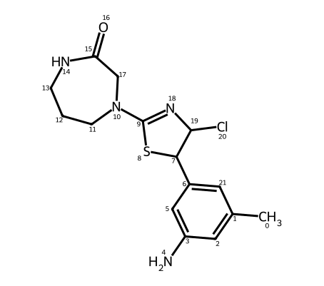 Cc1cc(N)cc(C2SC(N3CCCNC(=O)C3)=NC2Cl)c1